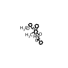 CCc1nc(C(=O)NSC(=O)c2ccccc2)cc2c3ccccc3n(Cc3ccccc3OC)c12